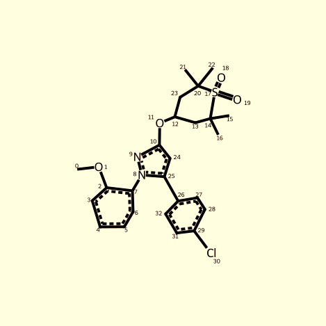 COc1ccccc1-n1nc(OC2CC(C)(C)S(=O)(=O)C(C)(C)C2)cc1-c1ccc(Cl)cc1